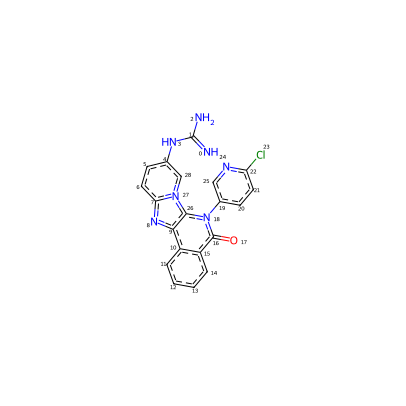 N=C(N)Nc1ccc2nc3c4ccccc4c(=O)n(-c4ccc(Cl)nc4)c3n2c1